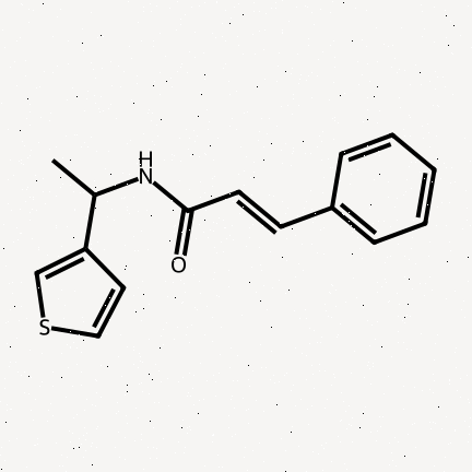 CC(NC(=O)/C=C/c1ccccc1)c1ccsc1